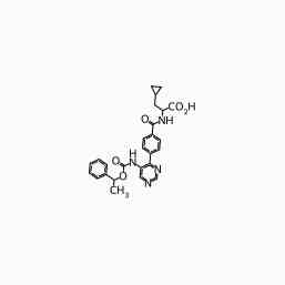 CC(OC(=O)Nc1cncnc1-c1ccc(C(=O)NC(CC2CC2)C(=O)O)cc1)c1ccccc1